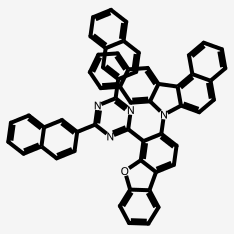 c1ccc2cc(-c3nc(-c4ccc5ccccc5c4)nc(-c4c(-n5c6cc7ccccc7cc6c6c7ccccc7ccc65)ccc5c4oc4ccccc45)n3)ccc2c1